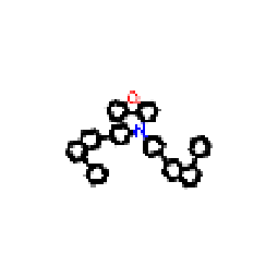 c1ccc(-c2cccc3ccc(-c4ccc(N(c5ccc(-c6ccc7cccc(-c8ccccc8)c7c6)cc5)c5cccc6oc7ccccc7c56)cc4)cc23)cc1